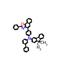 CC1(C)c2ccccc2-c2cc(N(c3ccc(-c4cc5ccccc5c5oc(-c6ccccc6)nc45)cc3)c3cccc(-c4ccccc4)c3)ccc21